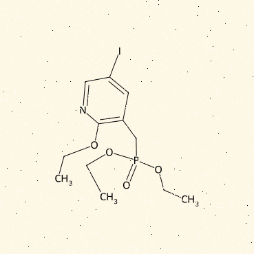 CCOc1ncc(I)cc1CP(=O)(OCC)OCC